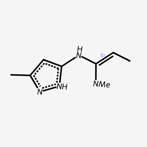 C/C=C(\NC)Nc1cc(C)n[nH]1